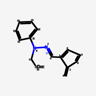 C=C1C=CC=C1/C=N/N(CCCCCCCCCCC)c1ccccc1